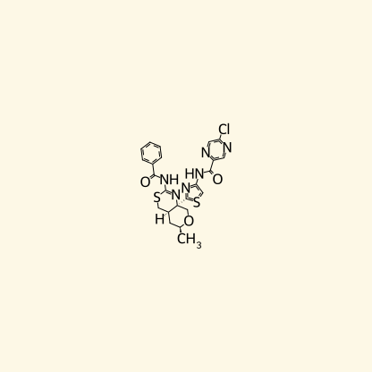 C[C@H]1C[C@H]2CSC(NC(=O)c3ccccc3)=N[C@@]2(c2nc(NC(=O)c3cnc(Cl)cn3)cs2)CO1